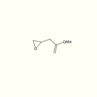 C=C(CC1CO1)OC